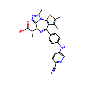 Cc1sc2c(c1C)C(c1ccc(Nc3ccc(C#N)nc3)cc1)=NC([C@H](C)C(=O)O)c1nnc(C)n1-2